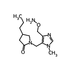 CCCC1CC(=O)N(Cc2c(CON)ncn2C)C1